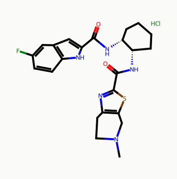 CN1CCc2nc(C(=O)N[C@H]3CCCC[C@H]3NC(=O)c3cc4cc(F)ccc4[nH]3)sc2C1.Cl